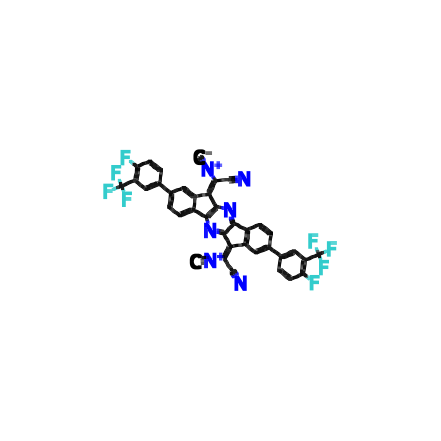 [C-]#[N+]/C(C#N)=C1/c2cc(-c3ccc(F)c(C(F)(F)F)c3)ccc2-c2nc3c(nc21)-c1ccc(-c2ccc(F)c(C(F)(F)F)c2)cc1/C3=C(/C#N)[N+]#[C-]